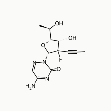 CC#CC1(F)[C@@H](O)[C@@H]([C@@H](C)O)O[C@H]1n1ncc(N)nc1=O